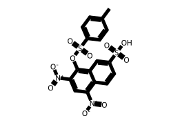 Cc1ccc(S(=O)(=O)Oc2c([N+](=O)[O-])cc([N+](=O)[O-])c3ccc(S(=O)(=O)O)cc23)cc1